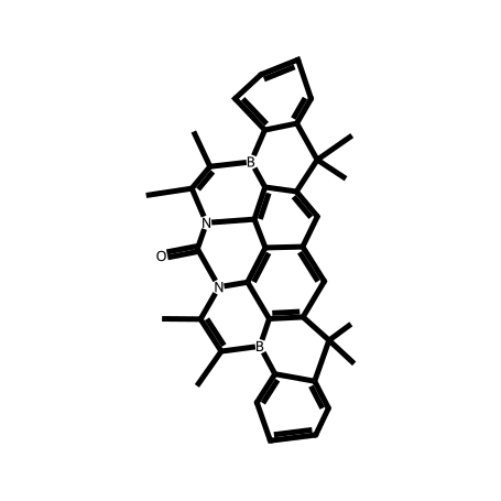 CC1=C(C)N2C(=O)N3C(C)=C(C)B4c5ccccc5C(C)(C)c5cc6cc7c(c2c6c3c54)B1c1ccccc1C7(C)C